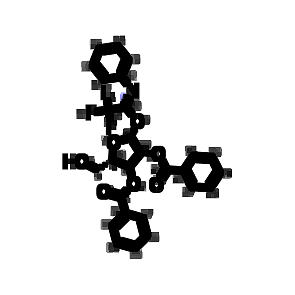 O=C(OC1[C@H](CO)O[C@@H](O/C(=N/c2ccccc2)C(F)(F)F)[C@H]1OC(=O)c1ccccc1)c1ccccc1